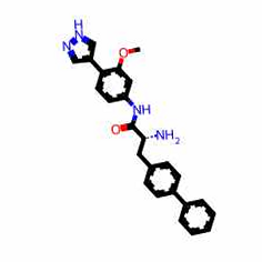 COc1cc(NC(=O)[C@H](N)Cc2ccc(-c3ccccc3)cc2)ccc1-c1cn[nH]c1